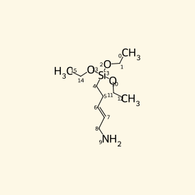 CCO[Si](CCC=CCN)(OCC)OCC